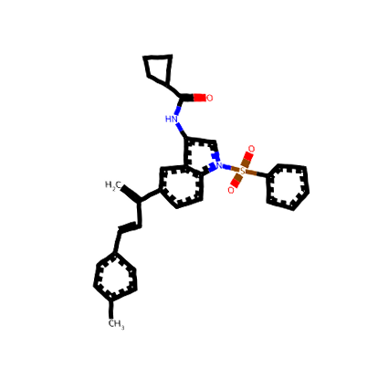 C=C(/C=C/c1ccc(C)cc1)c1ccc2c(c1)c(NC(=O)C1CCC1)cn2S(=O)(=O)c1ccccc1